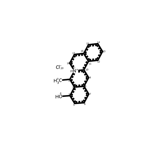 Cc1c2c(O)cccc2cc2c3ccccc3cc[n+]12.[Cl-]